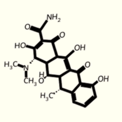 C[C@H]1c2cccc(O)c2C(=O)C2=C(O)C3C(=O)C(C(N)=O)=C(O)[C@@H](N(C)C)C3[C@@H](O)C21